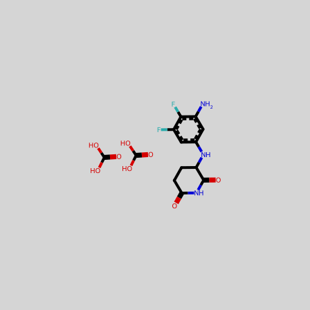 Nc1cc(NC2CCC(=O)NC2=O)cc(F)c1F.O=C(O)O.O=C(O)O